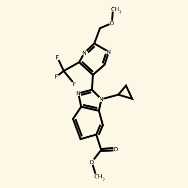 COCc1ncc(-c2nc3ccc(C(=O)OC)cc3n2C2CC2)c(C(F)(F)F)n1